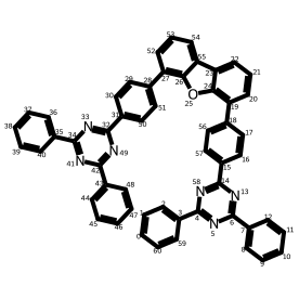 c1ccc(-c2nc(-c3ccccc3)nc(-c3ccc(-c4cccc5c4oc4c(-c6ccc(-c7nc(-c8ccccc8)nc(-c8ccccc8)n7)cc6)cccc45)cc3)n2)cc1